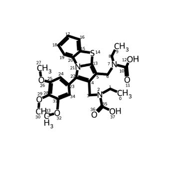 CCN(Cc1c(CN(CC)C(=O)O)c2sc3ccccc3n2c1-c1cc(OC)c(OC)c(OC)c1)C(=O)O